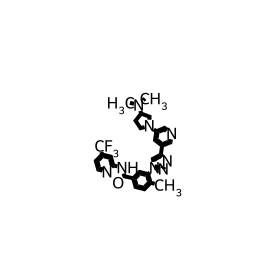 Cc1ccc(C(=O)Nc2cc(C(F)(F)F)ccn2)cc1-n1cc(-c2cncc(N3CCC(N(C)C)C3)c2)nn1